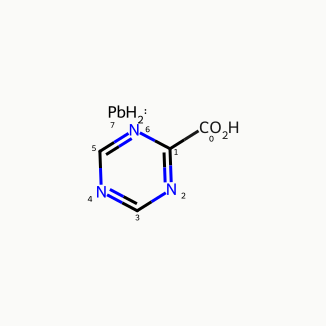 O=C(O)c1ncncn1.[PbH2]